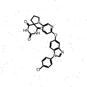 O=C1NC(=O)C2(CCCN2c2ccc(Oc3ccc4c(c3)ncn4-c3ccc(Cl)cc3)nc2)C(=O)N1